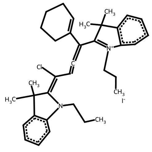 CCCN1C(=C(Cl)C=C=C(C2=CCCCC2)C2=[N+](CCC)c3ccccc3C2(C)C)C(C)(C)c2ccccc21.[I-]